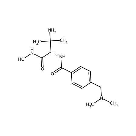 CN(C)Cc1ccc(C(=O)N[C@H](C(=O)NO)C(C)(C)N)cc1